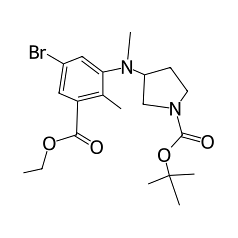 CCOC(=O)c1cc(Br)cc(N(C)C2CCN(C(=O)OC(C)(C)C)C2)c1C